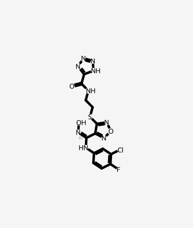 O=C(NCCSc1nonc1/C(=N\O)Nc1ccc(F)c(Cl)c1)c1nnn[nH]1